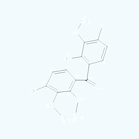 COc1c(F)ccc(C(=O)c2ccc(F)c(OC)c2OC)c1O